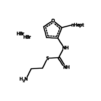 Br.Br.CCCCCCCc1occc1NC(=N)SCCN